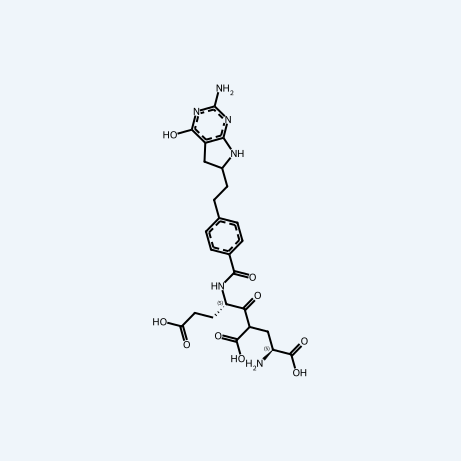 Nc1nc(O)c2c(n1)NC(CCc1ccc(C(=O)N[C@@H](CCC(=O)O)C(=O)C(C[C@H](N)C(=O)O)C(=O)O)cc1)C2